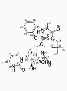 C=C1C=CN([C@@H]2O[C@@](COP(=S)(NC(C)C(=O)OCC(C)(C)C)Oc3ccccc3)(N=[N+]=[N-])[C@@H](O)[C@H]2O)C(=O)N1